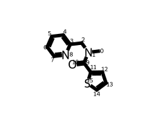 CN(Cc1ccccn1)C(=O)c1cccs1